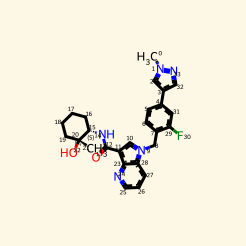 Cn1cc(-c2ccc(Cn3cc(C(=O)N[C@H]4CCCC[C@@]4(C)O)c4ncccc43)c(F)c2)cn1